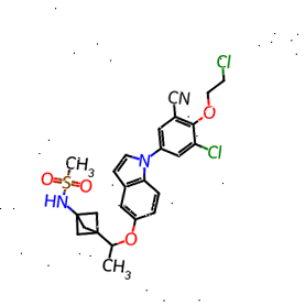 CC(Oc1ccc2c(ccn2-c2cc(Cl)c(OCCCl)c(C#N)c2)c1)C12CC(NS(C)(=O)=O)(C1)C2